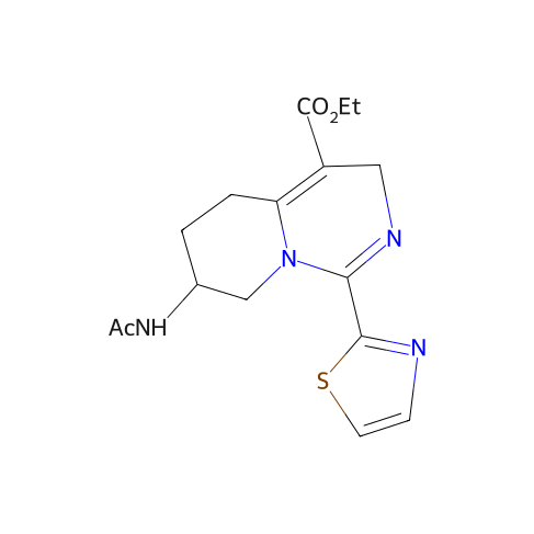 CCOC(=O)C1=C2CCC(NC(C)=O)CN2C(c2nccs2)=NC1